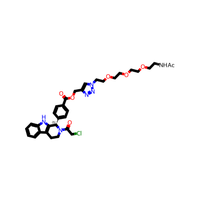 CC(=O)NCCOCCOCCOCCn1cc(COC(=O)c2ccc([C@H]3c4[nH]c5ccccc5c4CCN3C(=O)CCl)cc2)nn1